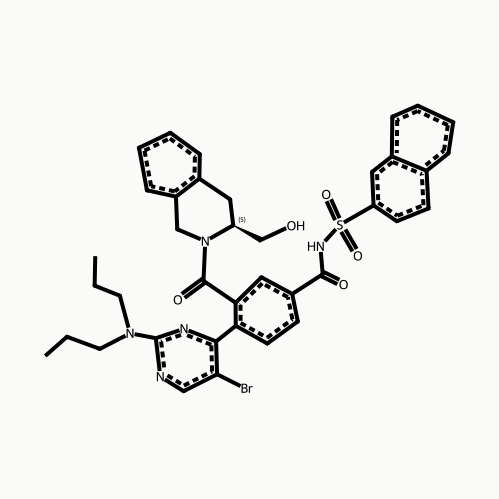 CCCN(CCC)c1ncc(Br)c(-c2ccc(C(=O)NS(=O)(=O)c3ccc4ccccc4c3)cc2C(=O)N2Cc3ccccc3C[C@H]2CO)n1